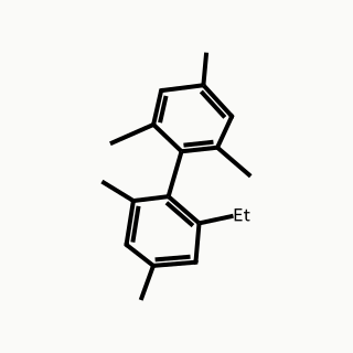 CCc1cc(C)cc(C)c1-c1c(C)cc(C)cc1C